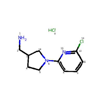 Cl.NCC1CCN(c2cccc(Cl)n2)C1